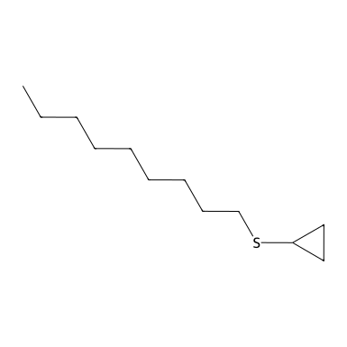 CCCCCCCCCSC1CC1